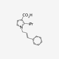 CC(C)c1c(C(=O)O)ccn1CC=Cc1ccccc1